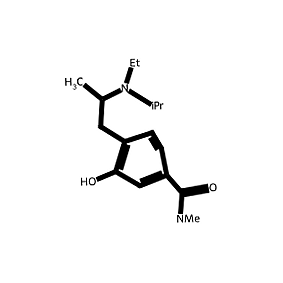 CCN(C(C)C)C(C)Cc1ccc(C(=O)NC)cc1O